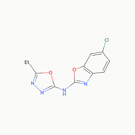 CCc1nnc(Nc2nc3ccc(Cl)cc3o2)o1